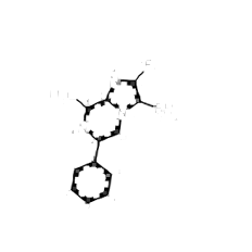 Bc1c(CC)nc2c(C)nc(-c3ccccc3)cn12